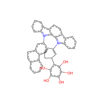 Oc1c(O)c(O)c(C2C=C(n3c4ccccc4c4ccc5c6ccccc6n(-c6ccc7c(ccc8ccccc87)c6)c5c43)C=CC2)c(O)c1O